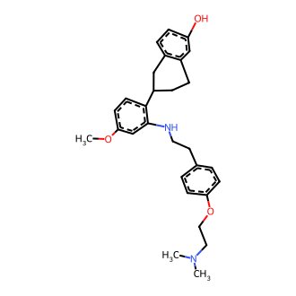 COc1ccc(C2CCc3cc(O)ccc3C2)c(NCCc2ccc(OCCN(C)C)cc2)c1